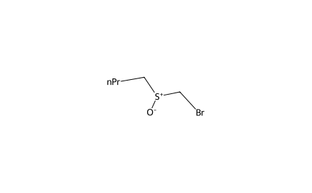 CCCC[S+]([O-])CBr